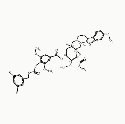 COC(=O)[C@H]1[C@H]2C[C@@H]3c4[nH]c5cc(OC)ccc5c4CCN3C[C@H]2C[C@@H](OC(=O)c2cc(OC)c(OC(=O)OCc3cc(F)cc(F)c3)c(OC)c2)[C@@H]1OC